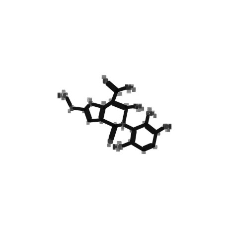 CSc1cc2c(=O)n(-c3c(C)ccc(O)c3C)c(N)c(C(N)=O)c2s1